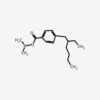 CCCCC(CC)Cc1ccc(C(=O)ON(C)C)cc1